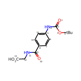 CC(C)(C)OC(=O)Nc1ccc(C(=O)NCC(=O)O)cc1